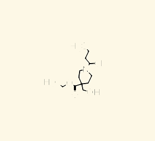 CCCC(C)N1CCC(CO)(C(=O)OCC)CC1